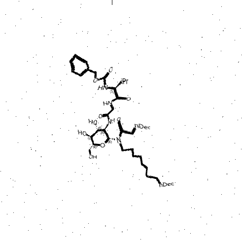 CCCCCCCCCCCCCCCCCCN(C(=O)CCCCCCCCCCC)[C@@H]1O[C@H](CO)[C@@H](O)[C@H](O)[C@H]1NC(=O)CNC(=O)[C@@H](NC(=O)OCc1ccccc1)C(C)C